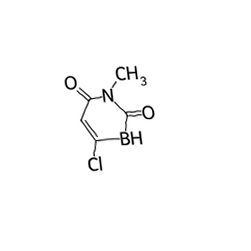 CN1C(=O)BC(Cl)=CC1=O